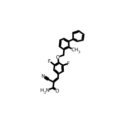 Cc1c(COc2c(F)cc(/C=C(\C#N)C(N)=O)cc2F)cccc1-c1ccccc1